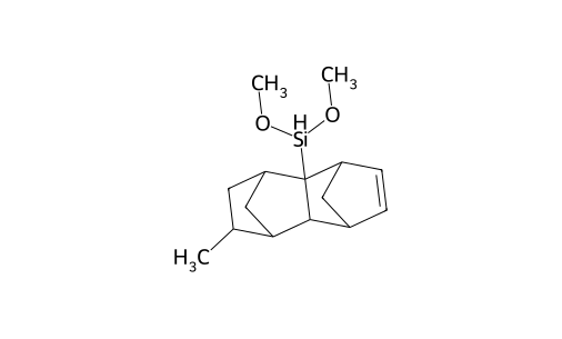 CO[SiH](OC)C12C3C=CC(C3)C1C1CC2CC1C